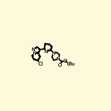 CC(C)(C)OC(=O)N1CCN(c2cccc(-c3cnn4ccc(Cl)cc34)n2)CC1